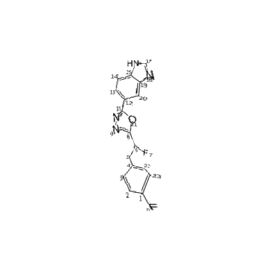 Fc1ccc(CC(F)c2nnc(-c3ccc4[nH]cnc4c3)o2)cc1